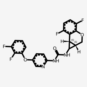 O=C(Nc1ccc(Oc2cccc(F)c2F)cn1)NC1[C@H]2COc3c(F)ccc(F)c3[C@@H]12